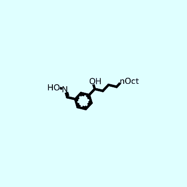 CCCCCCCCCCCC(O)c1cccc(C=NO)c1